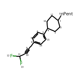 CCCCCC1CCC(c2ccc(C#CC(F)F)cc2)CC1